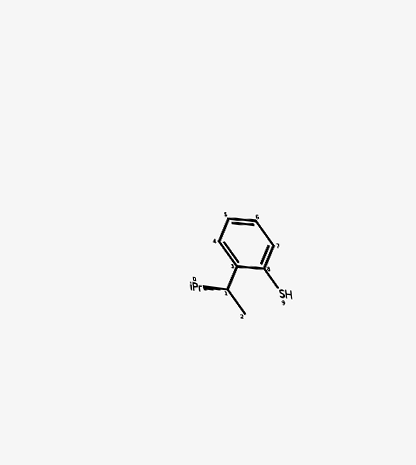 CC(C)[C@H](C)c1ccccc1S